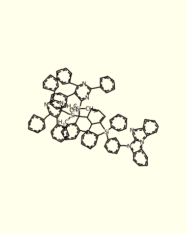 C[Si](C)(c1nc(-c2ccccc2)nc(-c2ccccc2)c1-c1ccccc1)C1([Si](C)(C)c2nc(-c3ccccc3)nc(-c3ccccc3)c2-c2ccccc2)c2ccccc2OC2C([Si](c3ccccc3)(c3ccccc3)c3cccc(-n4c5ccccc5n5c6ccccc6nc45)c3)=CC=CC21